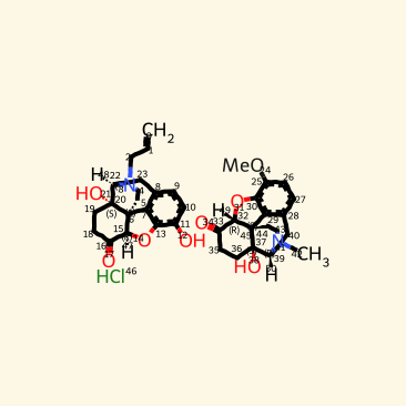 C=CCN1CC[C@]23c4c5ccc(O)c4O[C@H]2C(=O)CC[C@@]3(O)[C@H]1C5.COc1ccc2c3c1O[C@H]1C(=O)CC[C@@]4(O)[C@@H](C2)N(C)CC[C@]314.Cl